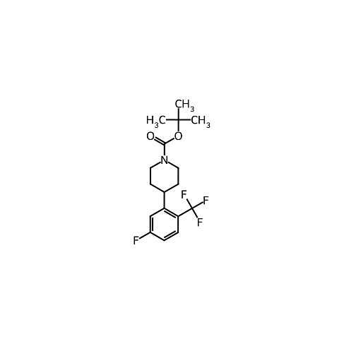 CC(C)(C)OC(=O)N1CCC(c2cc(F)ccc2C(F)(F)F)CC1